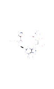 CNC(=O)[C@H]1O[C@@H](n2cnc3c(N)nc(C#CCN(C)C(=O)c4cnco4)nc32)[C@H](O)[C@@H]1O